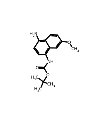 Bc1ccc(NC(=O)OC(C)(C)C)c2cc(OC)ccc12